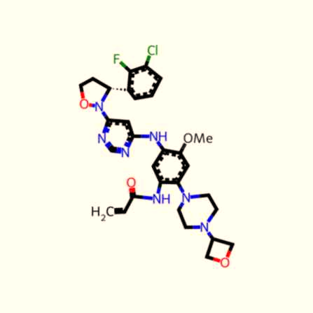 C=CC(=O)Nc1cc(Nc2cc(N3OCC[C@@H]3c3cccc(Cl)c3F)ncn2)c(OC)cc1N1CCN(C2COC2)CC1